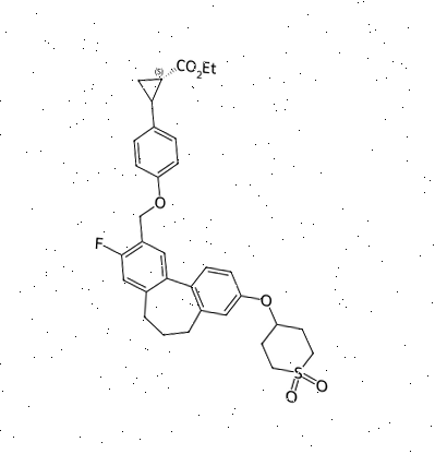 CCOC(=O)[C@H]1CC1c1ccc(OCc2cc3c(cc2F)CCCc2cc(OC4CCS(=O)(=O)CC4)ccc2-3)cc1